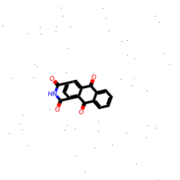 O=C1NC(=O)c2cc1cc1c2C(=O)c2ccccc2C1=O